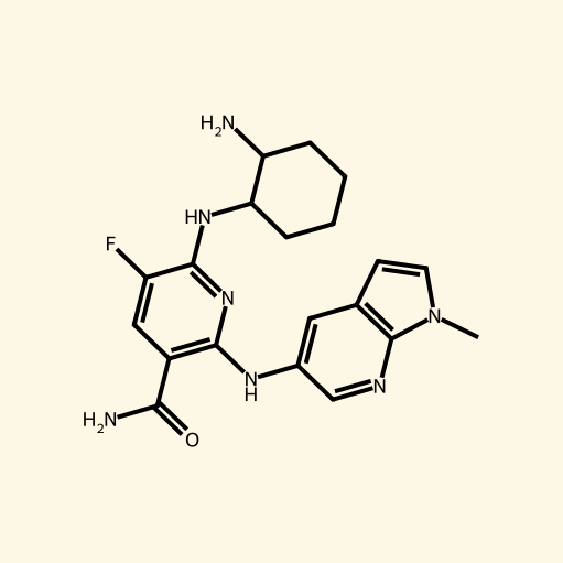 Cn1ccc2cc(Nc3nc(NC4CCCCC4N)c(F)cc3C(N)=O)cnc21